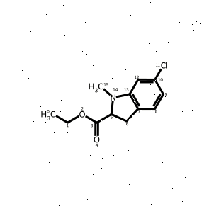 CCOC(=O)C1Cc2ccc(Cl)cc2N1C